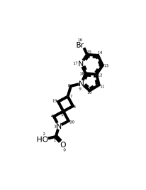 O=C(O)N1CC2(CC(Cn3ccc4ccc(Br)nc43)C2)C1